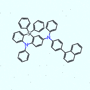 c1ccc(N(c2ccc(-c3cccc4ccccc34)cc2)c2ccc3c(c2)[Si](c2ccccc2)(c2ccccc2)c2ccccc2N3c2ccccc2)cc1